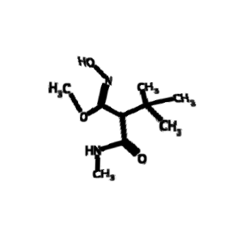 CNC(=O)C(C(=NO)OC)C(C)(C)C